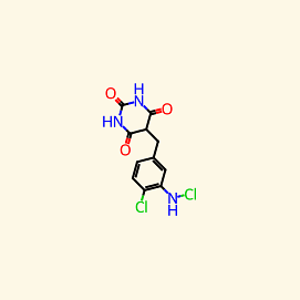 O=C1NC(=O)C(Cc2ccc(Cl)c(NCl)c2)C(=O)N1